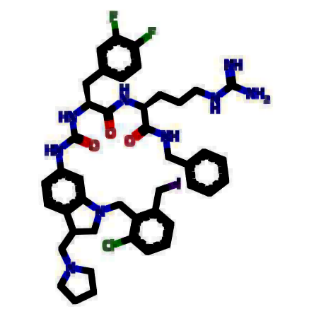 N=C(N)NCCC[C@H](NC(=O)[C@H](Cc1ccc(F)c(F)c1)NC(=O)Nc1ccc2c(c1)N(Cc1c(Cl)cccc1CI)CC2CN1CCCC1)C(=O)NCc1ccccc1